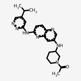 CC(=O)N1CCCC(Nc2cnc3ccc(Nc4cc(C(C)C)cnn4)nc3c2)C1